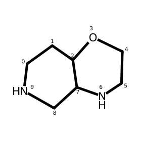 C1CC2OCCNC2CN1